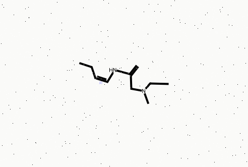 C=C(CN(C)CC)N/C=C\CC